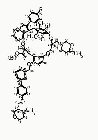 Cc1c(Cl)c2c(Cl)c(C)c1-c1c(-c3ccc(F)cc3)sc3ncnc(c13)O[C@@H](C(=O)OC(C)(C)C)Cc1cc(ccc1OCc1ccnc(-c3ccc(OC[C@H]4COCCN4C)cc3)n1)OC[C@@H](CN1CCN(C)CC1)O2